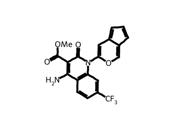 COC(=O)c1c(N)c2ccc(C(F)(F)F)cc2n(-c2cc3cccc-3co2)c1=O